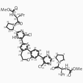 COC(=O)N[C@H](C(=O)N1CCC[C@H]1c1nc(Cl)c(-c2ccc3c(c2)OCCc2cc(-c4[nH]c([C@@H]5CCCN5C(=O)[C@@H](NC(=O)OC)C(C)C)nc4Cl)sc2-3)[nH]1)C(C)C